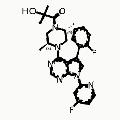 C[C@@H]1CN(c2ncnc3c2c(-c2ccccc2F)cn3-c2cc(F)ccn2)[C@@H](C)CN1C(=O)C(C)(C)O